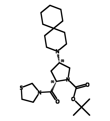 CC(C)(C)OC(=O)N1C[C@@H](N2CCC3(CCCCC3)CC2)C[C@H]1C(=O)N1CCSC1